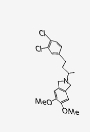 COc1cc2c(cc1OC)CN(C(C)CCc1ccc(Cl)c(Cl)c1)C2